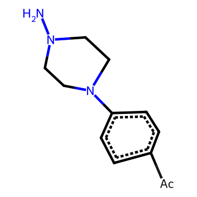 CC(=O)c1ccc(N2CCN(N)CC2)cc1